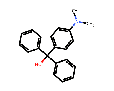 CN(C)c1ccc(C(O)(c2ccccc2)c2ccccc2)cc1